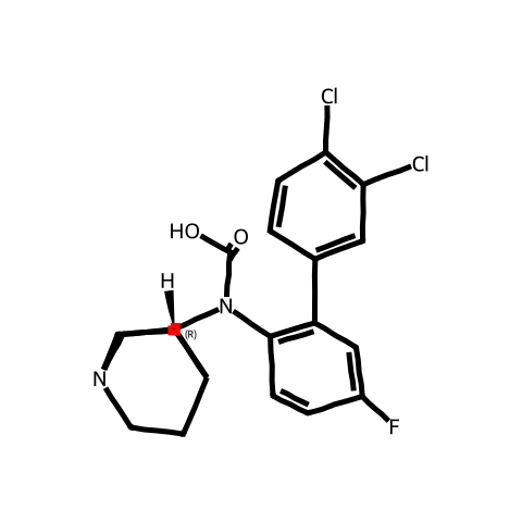 O=C(O)N(c1ccc(F)cc1-c1ccc(Cl)c(Cl)c1)[C@H]1CN2CCC1CC2